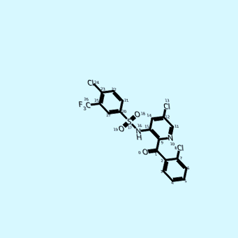 O=C(c1ccccc1Cl)c1ncc(Cl)cc1NS(=O)(=O)c1ccc(Cl)c(C(F)(F)F)c1